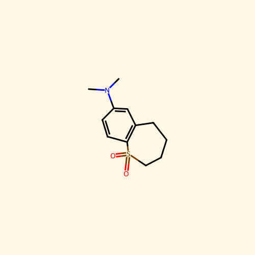 CN(C)c1ccc2c(c1)CCCCS2(=O)=O